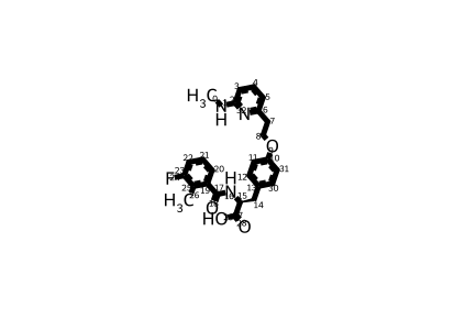 CNc1cccc(CCOc2ccc(C[C@H](NC(=O)c3cccc(F)c3C)C(=O)O)cc2)n1